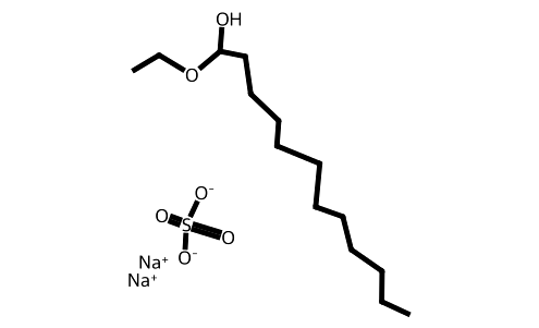 CCCCCCCCCCCC(O)OCC.O=S(=O)([O-])[O-].[Na+].[Na+]